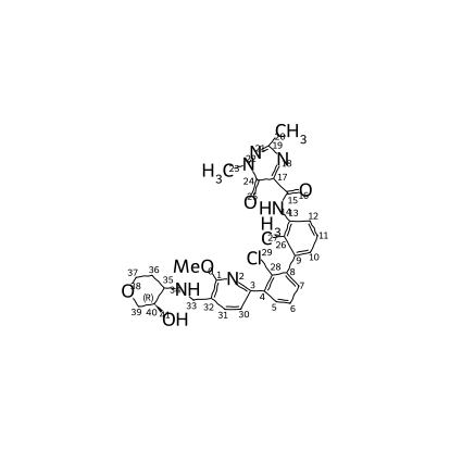 COc1nc(-c2cccc(-c3cccc(NC(=O)c4nc(C)nn(C)c4=O)c3C)c2Cl)ccc1CNC1CCOC[C@@H]1O